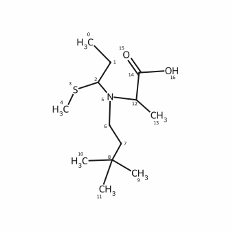 CCC(SC)N(CCC(C)(C)C)C(C)C(=O)O